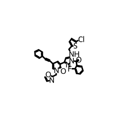 O=C(c1ccccc1F)n1nc(-c2cc(C#Cc3ccccc3)cn(Cc3ncco3)c2=O)cc1NCc1ccc(Cl)s1